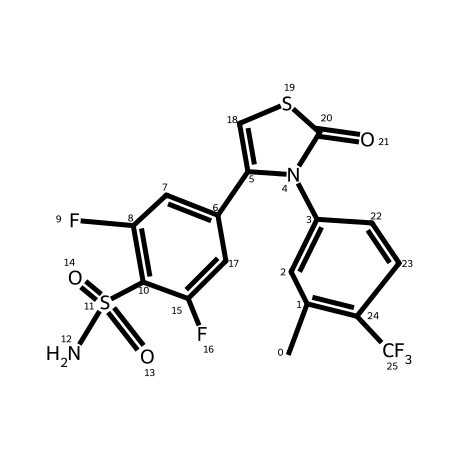 Cc1cc(-n2c(-c3cc(F)c(S(N)(=O)=O)c(F)c3)csc2=O)ccc1C(F)(F)F